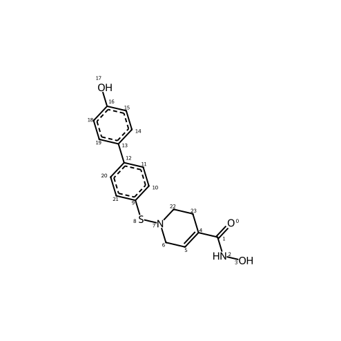 O=C(NO)C1=CCN(Sc2ccc(-c3ccc(O)cc3)cc2)CC1